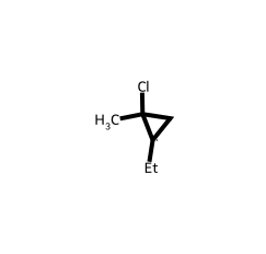 CC[C]1CC1(C)Cl